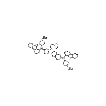 CC(C)(C)c1ccc(N(c2ccc3c(c2)C2(c4cc5cc(N(c6ccc(C(C)(C)C)cc6)c6cccc7c6oc6ccccc67)ccc5cc4-3)C3CC4CC(C3)CC2C4)c2cccc3c2oc2ccccc23)cc1